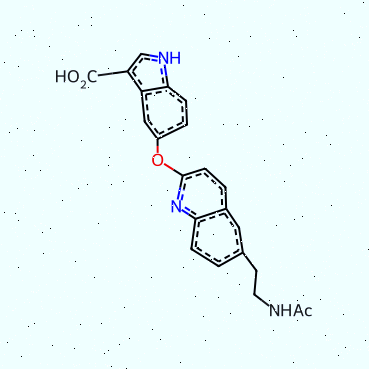 CC(=O)NCCc1ccc2nc(Oc3ccc4[nH]cc(C(=O)O)c4c3)ccc2c1